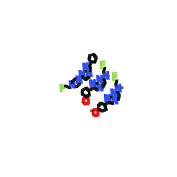 COc1ccc(-c2cn3ccc(N(C)CCF)nc3n2)cc1.COc1cccc(-c2cn3ccc(N(C)CCF)nc3n2)c1.FCCN1CCN(c2ccn3cc(-c4ccccc4)nc3n2)CC1